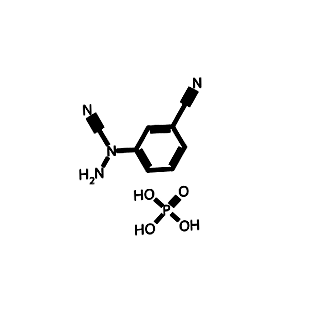 N#Cc1cccc(N(N)C#N)c1.O=P(O)(O)O